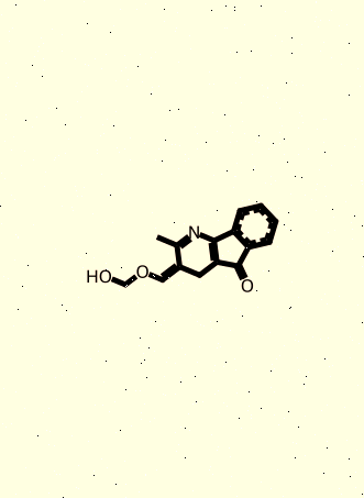 CC1=NC2=C(CC1=COCO)C(=O)c1ccccc12